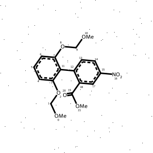 COCOc1cccc(OCOC)c1-c1ccc([N+](=O)[O-])cc1C(=O)OC